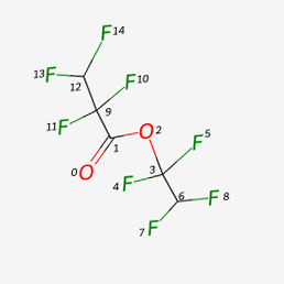 O=C(OC(F)(F)C(F)F)C(F)(F)C(F)F